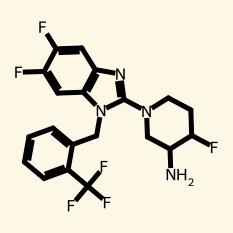 NC1CN(c2nc3cc(F)c(F)cc3n2Cc2ccccc2C(F)(F)F)CCC1F